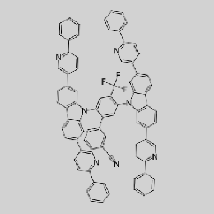 N#Cc1cccc(-c2cc(-n3c4cc(-c5ccc(-c6ccccc6)nc5)ccc4c4ccc(-c5ccc(-c6ccccc6)nc5)cc43)c(C(F)(F)F)cc2-n2c3cc(-c4ccc(-c5ccccc5)nc4)ccc3c3ccc(-c4ccc(-c5ccccc5)nc4)cc32)c1